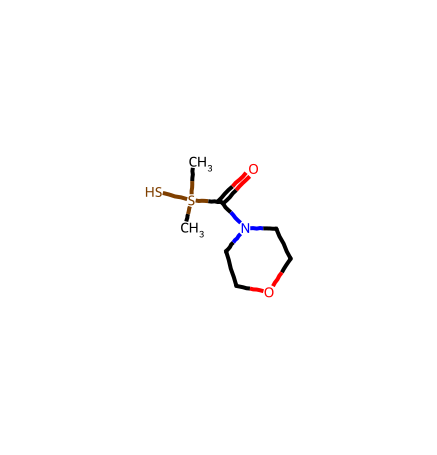 CS(C)(S)C(=O)N1CCOCC1